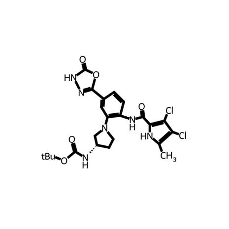 Cc1[nH]c(C(=O)Nc2ccc(-c3n[nH]c(=O)o3)cc2N2CC[C@H](NC(=O)OC(C)(C)C)C2)c(Cl)c1Cl